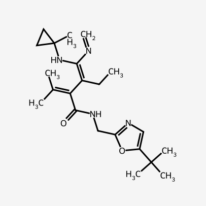 C=N/C(NC1(C)CC1)=C(\CC)C(C(=O)NCc1ncc(C(C)(C)C)o1)=C(C)C